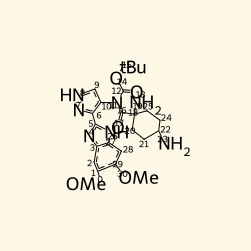 COc1cc2nc(-c3n[nH]cc3N(C(=O)OC(C)(C)C)C(=O)C3(N)CCC(N)CC3)[nH]c2cc1OC